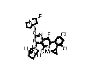 COc1nc(-c2cc(O)cc(Cl)c2C2CC2)c(F)c2nc(OC[C@@]34CCCN3C[C@H](F)C4)nc(N3C[C@H]4CC[C@@H](C3)N4)c12